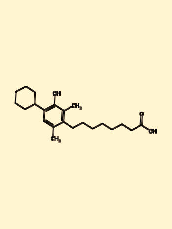 Cc1cc(C2CCCCC2)c(O)c(C)c1CCCCCCCC(=O)O